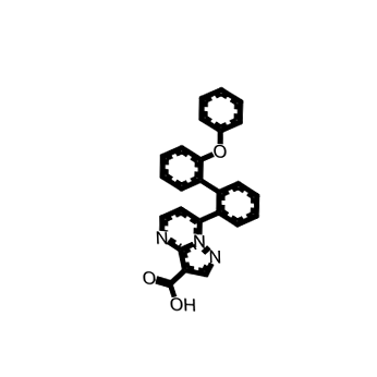 O=C(O)c1cnn2c(-c3ccccc3-c3ccccc3Oc3ccccc3)ccnc12